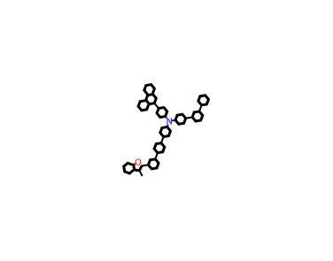 Cc1c(-c2cccc(-c3ccc(-c4ccc(N(c5ccc(-c6cccc(-c7ccccc7)c6)cc5)c5ccc(-c6cc7ccccc7c7ccccc67)cc5)cc4)cc3)c2)oc2ccccc12